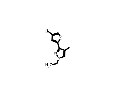 CCn1cc(I)c(-c2cc(Cl)cs2)n1